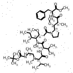 CC[C@H](C)[C@@H]([C@@H](CC(=O)N1CCC[C@H]1[C@H](OC)[C@@H](C)C(=O)N[C@@H](Cc1ccccc1)C(=O)OC)OC)N(C)C(=O)[C@@H](NC(=O)[C@H](C(C)C)N(C)C[C@@H](C)NC(=O)OC(C)(C)C)C(C)C